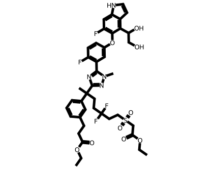 CCOC(=O)CCc1cccc(C(C)(CCC(F)(F)CCS(=O)(=O)CC(=O)OCC)c2nc(-c3cc(Oc4c(F)cc5[nH]ccc5c4C(O)CO)ccc3F)n(C)n2)c1